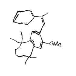 COc1cc2c(cc1C=C(C)c1ccccc1)C(C)(C)CCC2(C)C